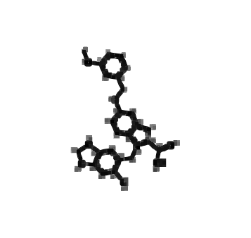 COc1cccc(COc2ccc3c(c2)cc(C(=O)O)n3Cc2cc3c(cc2Cl)OCO3)c1